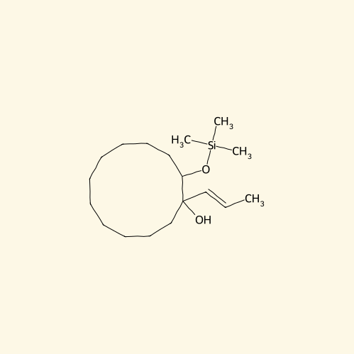 CC=CC1(O)CCCCCCCCCCC1O[Si](C)(C)C